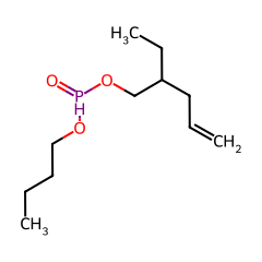 C=CCC(CC)CO[PH](=O)OCCCC